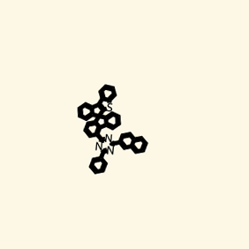 c1ccc(-c2nc(-c3ccc4ccccc4c3)nc(-c3cccc4c3-c3ccccc3C43c4ccccc4-c4c3sc3ccccc43)n2)cc1